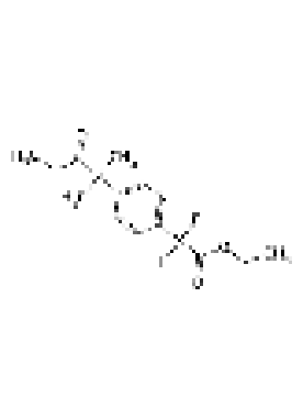 CCOC(=O)C(F)(F)c1ccc(C(C)(C)C(=O)CC)cn1